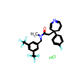 CN(Cc1cc(C(F)(F)F)cc(C(F)(F)F)c1)C(=O)CC1(c2ccc(F)cc2)C=CC=NC=C1.Cl